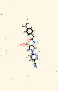 CC(C)c1ccc(CC(=O)N[C@@H]2CN(c3ccc(C#N)nn3)C[C@H]2CO)cc1